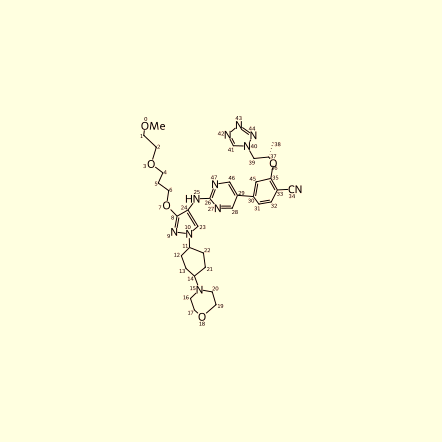 COCCOCCCOc1nn(C2CCC(N3CCOCC3)CC2)cc1Nc1ncc(-c2ccc(C#N)c(O[C@@H](C)Cn3cnnn3)c2)cn1